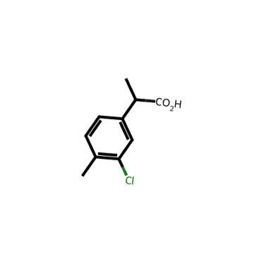 Cc1ccc(C(C)C(=O)O)cc1Cl